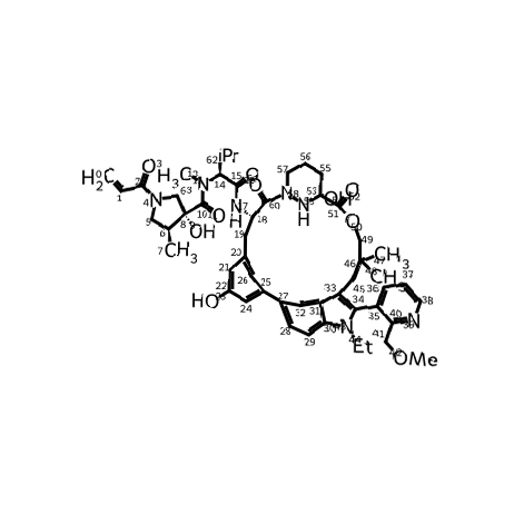 C=CC(=O)N1C[C@H](C)[C@](O)(C(=O)N(C)[C@H](C(=O)N[C@H]2Cc3cc(O)cc(c3)-c3ccc4c(c3)c(c(-c3cccnc3COC)n4CC)CC(C)(C)COC(=O)[C@@]3(O)CCCN(N3)C2=O)C(C)C)C1